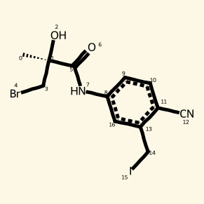 C[C@@](O)(CBr)C(=O)Nc1ccc(C#N)c(CI)c1